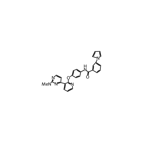 CNc1nccc(-c2cccnc2Oc2ccc(NC(=O)c3cccc(-n4cccc4)c3)cc2)n1